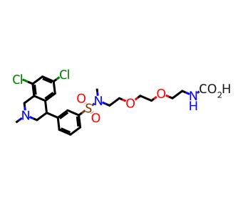 CN1Cc2c(Cl)cc(Cl)cc2C(c2cccc(S(=O)(=O)N(C)CCOCCOCCNC(=O)O)c2)C1